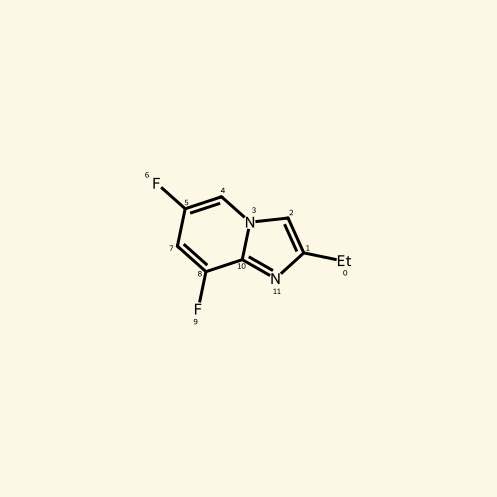 CCc1cn2cc(F)cc(F)c2n1